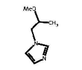 COC(C)Cn1ccnc1